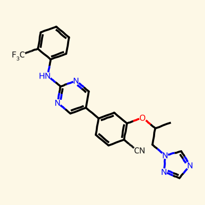 CC(Cn1cncn1)Oc1cc(-c2cnc(Nc3ccccc3C(F)(F)F)nc2)ccc1C#N